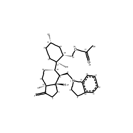 C=C1CC[C@H]2[C@H](CN3CCc4ccccc43)[C@@H]([C@@]3(C)CC[C@H](C)C[C@@H]3COC(C)=O)CC[C@]12C